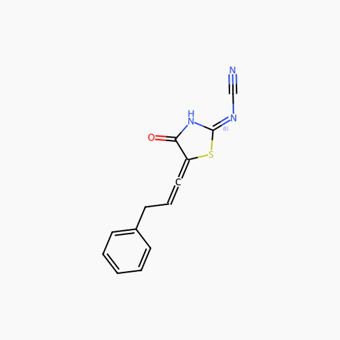 N#C/N=C1\NC(=O)C(=C=CCc2ccccc2)S1